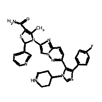 CC1=C(C(N)=O)SC(c2cccnc2)N1c1cn2nc(-c3c(-c4ccc(F)cc4)ncn3C3CCNCC3)ccc2n1